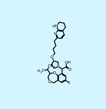 CC(C)C1COCc2cc(F)cc(C(C(=O)O)N3CC[C@@H](OCCCCc4ccc5c(n4)NCCC5)C3)c2O1